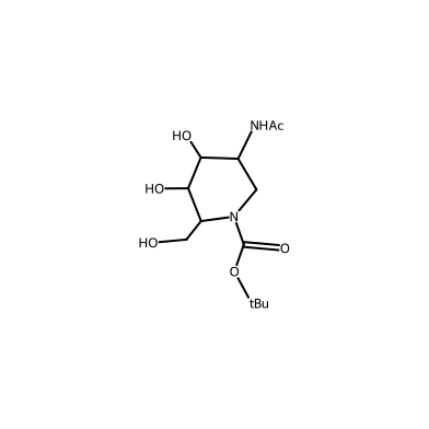 CC(=O)NC1CN(C(=O)OC(C)(C)C)C(CO)C(O)C1O